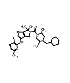 Cc1ncc(F)c(Nc2n[nH]c3c2CN(C(=O)N2CC(C)N(CC4CCOCC4)CC2C)C3(C)C)n1